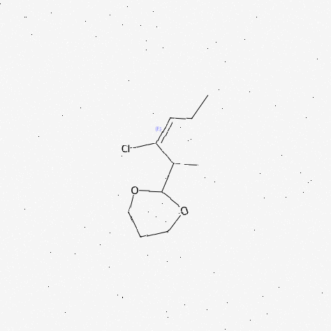 CC/C=C(/Cl)C(C)C1OCCCO1